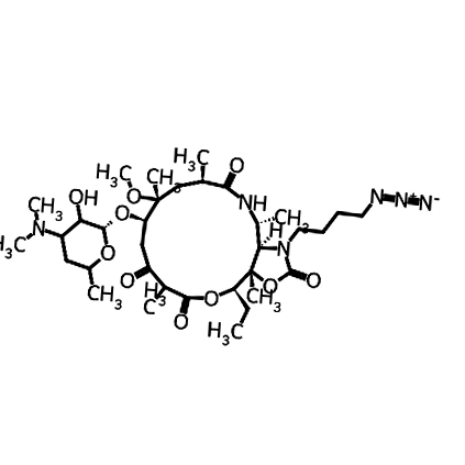 CC[C@H]1OC(=O)C(C)C(=O)C[C@@H](O[C@@H]2OC(C)CC(N(C)C)C2O)[C@](C)(OC)C[C@@H](C)C(=O)N[C@H](C)[C@H]2N(CCCCN=[N+]=[N-])C(=O)O[C@]12C